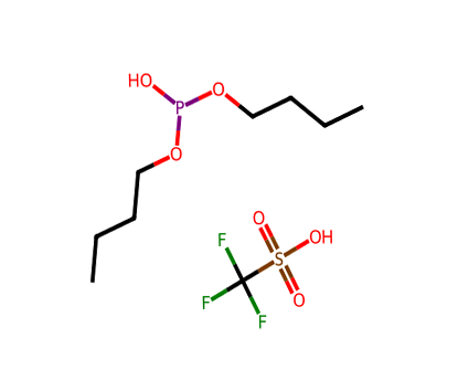 CCCCOP(O)OCCCC.O=S(=O)(O)C(F)(F)F